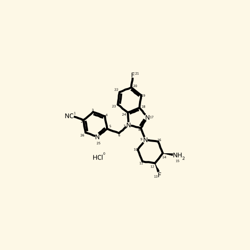 Cl.N#Cc1ccc(Cn2c(N3CC[C@H](F)[C@H](N)C3)nc3cc(F)ccc32)nc1